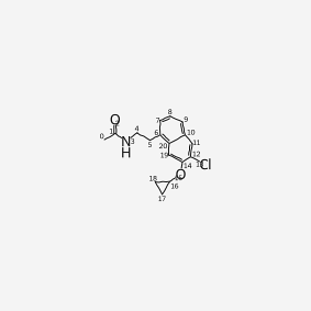 CC(=O)NCCc1cccc2cc(Cl)c(OC3CC3)cc12